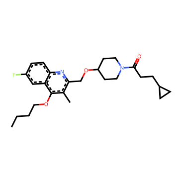 CCCCOc1c(C)c(COC2CCN(C(=O)CCC3CC3)CC2)nc2ccc(F)cc12